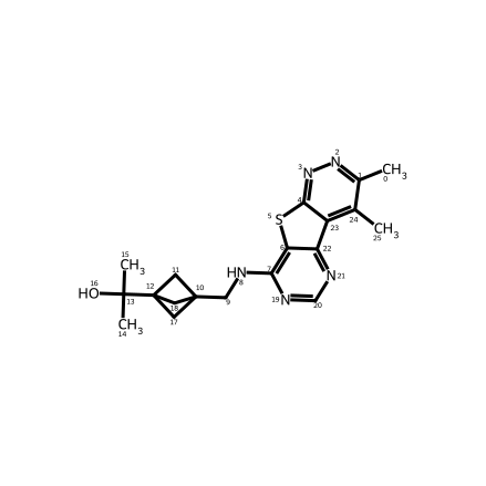 Cc1nnc2sc3c(NCC45CC(C(C)(C)O)(C4)C5)ncnc3c2c1C